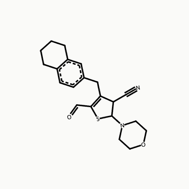 N#CC1C(Cc2ccc3c(c2)CCCC3)=C(C=O)SC1N1CCOCC1